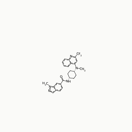 Cn1ncc2ccc(C(=O)N[C@H]3CC[C@@H](N(C)c4cc(C(F)(F)F)nc5ccccc45)CC3)cc21